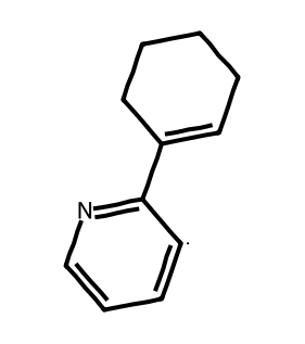 [c]1cccnc1C1=CCCCC1